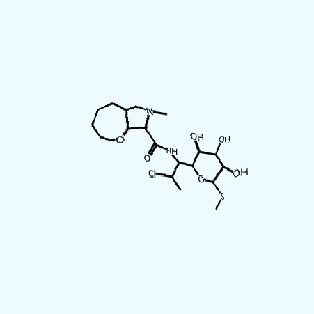 CSC1OC(C(NC(=O)C2C3OCCCCC3CN2C)C(C)Cl)C(O)C(O)C1O